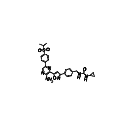 CC(C)S(=O)(=O)c1ccc(-c2cnc(N)c(-c3cc(-c4ccc(CNC(=O)NC5CC5)cc4)no3)n2)cc1